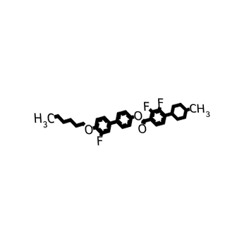 CCCCCCOc1ccc(-c2ccc(OC(=O)c3ccc(C4CCC(C)CC4)c(F)c3F)cc2)cc1F